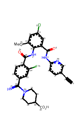 C#Cc1ccc(NC(=O)c2cc(Cl)cc(OC)c2NC(=O)c2ccc(C(=N)N3CCC(C(=O)O)CC3)cc2F)nc1